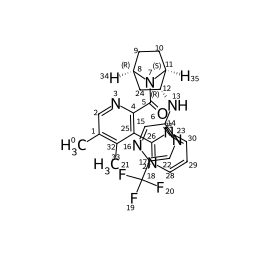 Cc1cnc(C(=O)N2[C@@H]3CC[C@H]2[C@H](Nc2cnc(C(F)(F)F)cn2)C3)c(-c2ncccn2)c1C